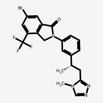 C[C@@H](Cc1nncn1C)c1cccc(N2Cc3c(cc(Br)cc3C(F)(F)F)C2=O)c1